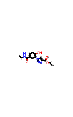 CCNC(=O)c1ccc(O)c(-n2cc(C(=O)OCC)nn2)c1